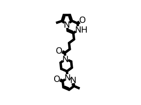 Cc1ccc(=O)n(C2CCN(C(=O)CCCc3cn4c(C)ccc4c(=O)[nH]3)CC2)n1